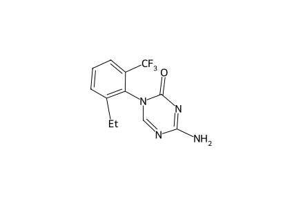 CCc1cccc(C(F)(F)F)c1-n1cnc(N)nc1=O